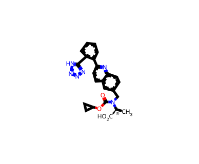 C[C@@H](C(=O)O)N(Cc1ccc2nc(-c3ccccc3-c3nnn[nH]3)ccc2c1)C(=O)OC1CC1